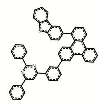 c1ccc(-c2cc(-c3cccc(-c4ccc5c(c4)c4ccccc4c4cccc(-c6ccc7sc8ccccc8c7c6)c45)c3)nc(-c3ccccc3)n2)cc1